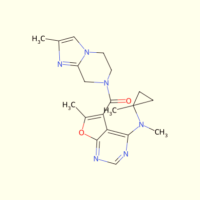 Cc1cn2c(n1)CN(C(=O)c1c(C)oc3ncnc(N(C)C4(C)CC4)c13)CC2